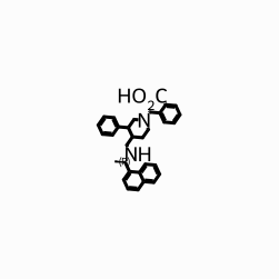 C[C@@H](NCC1CCN(Cc2ccccc2C(=O)O)CC1c1ccccc1)c1cccc2ccccc12